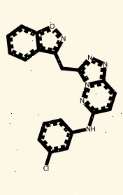 Clc1cccc(Nc2ccc3nnc(Cc4noc5ccccc45)n3n2)c1